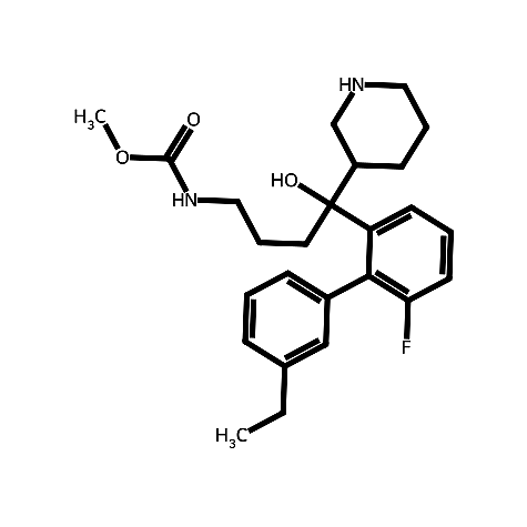 CCc1cccc(-c2c(F)cccc2C(O)(CCCNC(=O)OC)C2CCCNC2)c1